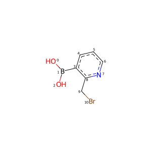 OB(O)c1cccnc1CBr